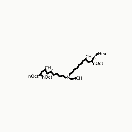 C#CCN(CCCCCCCC(=C)CC(CCCCCCCC)CCCCCCCC)CCCCCCCC(=C)CC(CCCCCCCC)COCCCCCC